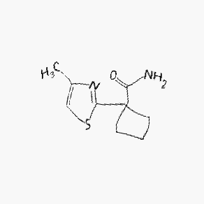 Cc1csc(C2(C(N)=O)CCC2)n1